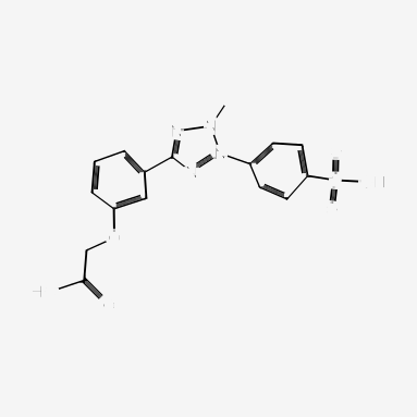 Cn1nc(-c2cccc(OCC(=O)O)c2)n[n+]1-c1ccc(S(=O)(=O)O)cc1